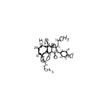 CCCC(=O)Oc1c(C(=O)N(C(=O)CCC)c2ccc(Cl)cc2)c(=O)n(C)c2cccc(Cl)c12